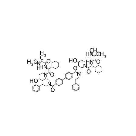 CN[C@@H](C)C(=O)N[C@H](C(=O)N1CC[C@@H](O)C[C@H]1CN(CCc1ccccc1)C(=O)c1ccc(-c2ccc(C(=O)N(CCc3ccccc3)C[C@@H]3C[C@H](O)CCN3C(=O)[C@@H](NC(=O)[C@H](C)NC)C3CCCCC3)cc2)cc1)C1CCCCC1